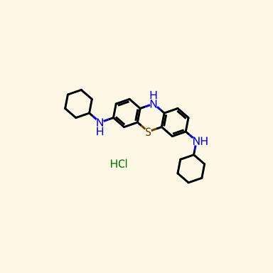 Cl.c1cc2c(cc1NC1CCCCC1)Sc1cc(NC3CCCCC3)ccc1N2